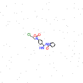 N=C(NC(=O)c1ccccc1)c1ccc(N2CC(CCl)OC2=O)cc1